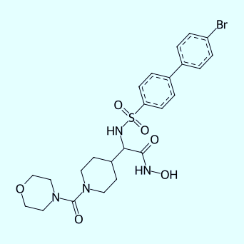 O=C(NO)C(NS(=O)(=O)c1ccc(-c2ccc(Br)cc2)cc1)C1CCN(C(=O)N2CCOCC2)CC1